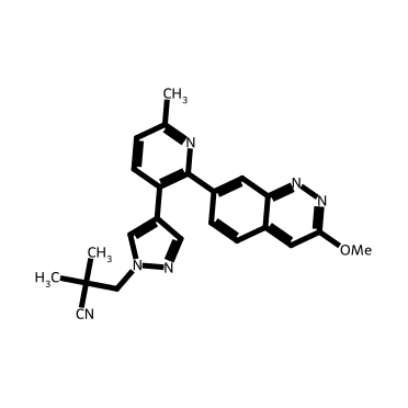 COc1cc2ccc(-c3nc(C)ccc3-c3cnn(CC(C)(C)C#N)c3)cc2nn1